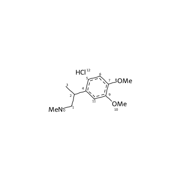 CNCC(C)c1ccc(OC)c(OC)c1.Cl